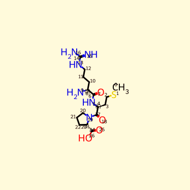 CSCC[C@H](NC(=O)[C@@H](N)CCCNC(=N)N)C(=O)N1CCC[C@H]1C(=O)O